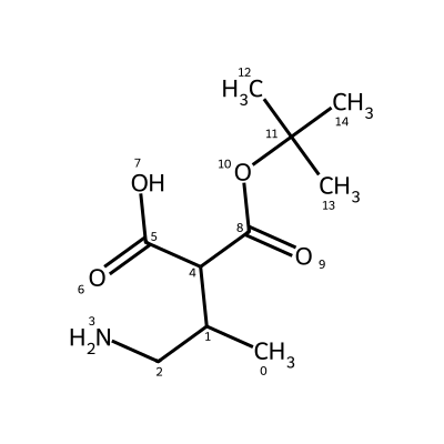 CC(CN)C(C(=O)O)C(=O)OC(C)(C)C